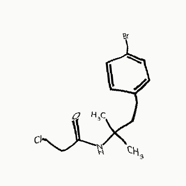 CC(C)(Cc1ccc(Br)cc1)NC(=O)CCl